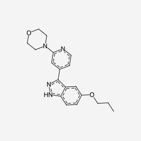 CCCOc1ccc2[nH]nc(-c3ccnc(N4CCOCC4)c3)c2c1